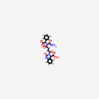 NC(=O)N(C(=O)/C=C/C(=O)N(C(N)=O)C(C(=O)O)c1ccccc1)C(C(=O)O)c1ccccc1